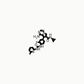 Cc1cccc(NC(=O)Nc2ccc(-c3c(C(=O)NC4CC4)cn4ncnc(N)c34)cc2F)n1